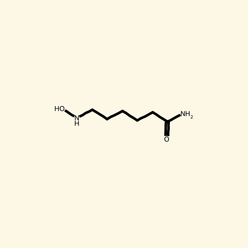 NC(=O)CCCCCNO